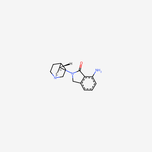 Nc1cccc2c1C(=O)N([C@@H]1CN3CCC1CC3)C2